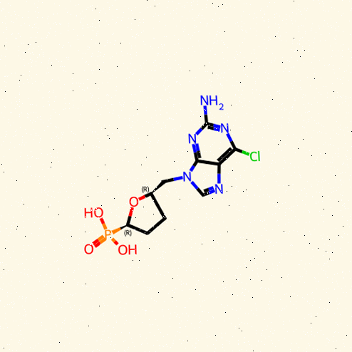 Nc1nc(Cl)c2ncn(C[C@H]3CC[C@@H](P(=O)(O)O)O3)c2n1